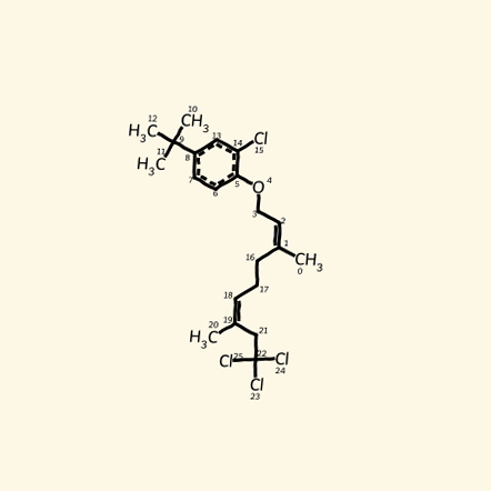 CC(=CCOc1ccc(C(C)(C)C)cc1Cl)CCC=C(C)CC(Cl)(Cl)Cl